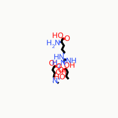 CC(O)CC(=O)O.C[N+](C)(C)CC(O)CC(=O)[O-].N=C(N)NCCCC(N)C(=O)O